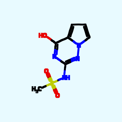 CS(=O)(=O)Nc1nc(O)c2cccn2n1